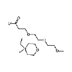 CC[N+]1(C)CCOCC1.COCCOCCOCCC(=O)[O-]